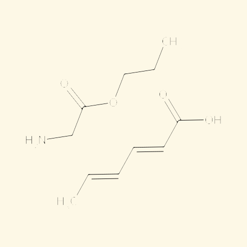 C/C=C/C=C/C(=O)O.CCCOC(=O)CN